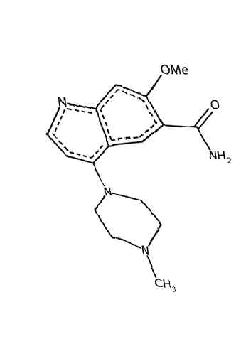 COc1cc2nccc(N3CCN(C)CC3)c2cc1C(N)=O